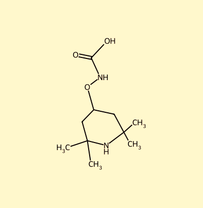 CC1(C)CC(ONC(=O)O)CC(C)(C)N1